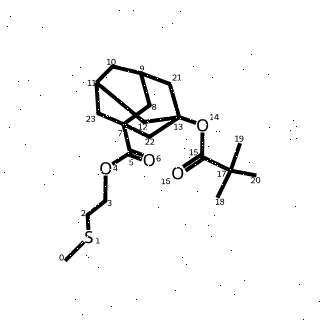 CSCCOC(=O)C12CC3CC(CC(OC(=O)C(C)(C)C)(C3)C1)C2